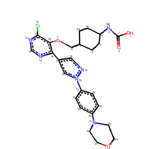 O=C(O)NC1CCC(COc2c(Cl)ncnc2-c2cnn(-c3ccc(N4CCOCC4)cc3)c2)CC1